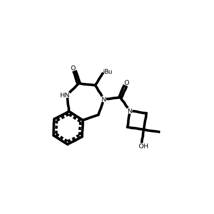 CCC(C)C1C(=O)Nc2ccccc2CN1C(=O)N1CC(C)(O)C1